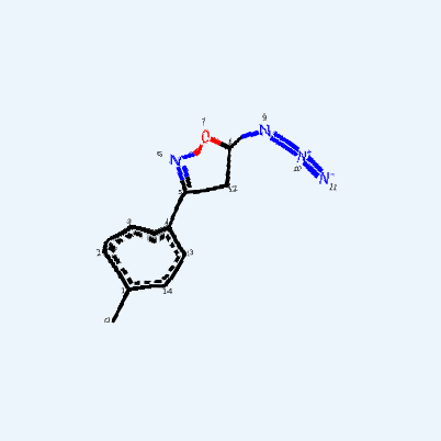 Cc1ccc(C2=NOC(N=[N+]=[N-])C2)cc1